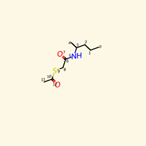 CCCC(C)NC(=O)CSC(C)=O